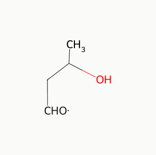 CC(O)C[C]=O